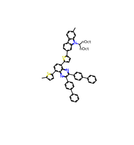 CCCCCCCCC(CCCCCCCC)n1c2cc(C)ccc2c2ccc(-c3ccc(-c4ccc(-c5ccc(C)s5)c5nc(-c6ccc(-c7ccccc7)cc6)c(-c6ccc(-c7ccccc7)cc6)nc45)s3)cc21